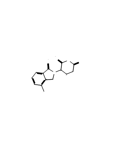 Cc1cccc2c1CN(C1CCC(=O)OC1=O)C2=O